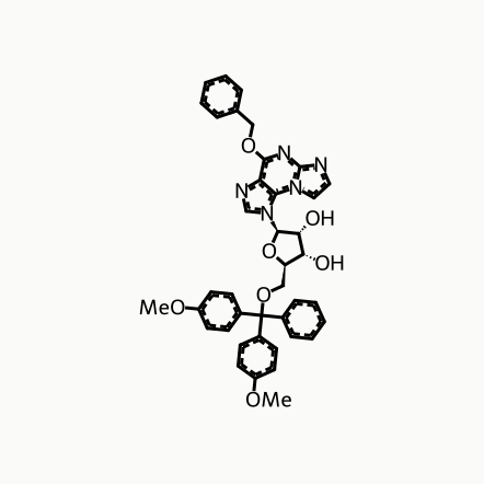 COc1ccc(C(OC[C@H]2O[C@@H](n3cnc4c(OCc5ccccc5)nc5nccn5c43)[C@H](O)[C@@H]2O)(c2ccccc2)c2ccc(OC)cc2)cc1